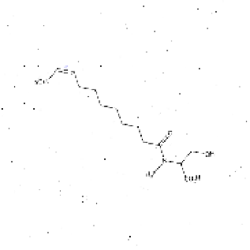 CCCCCCCC/C=C\CCCCCCCC(=O)N(P)C(CO)C(=O)O